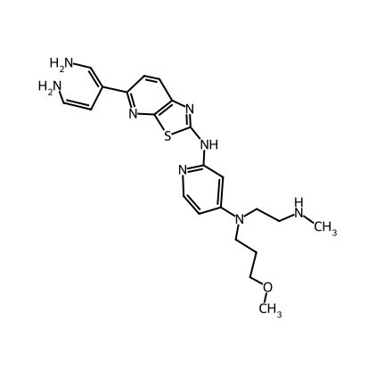 CNCCN(CCCOC)c1ccnc(Nc2nc3ccc(C(/C=C\N)=C/N)nc3s2)c1